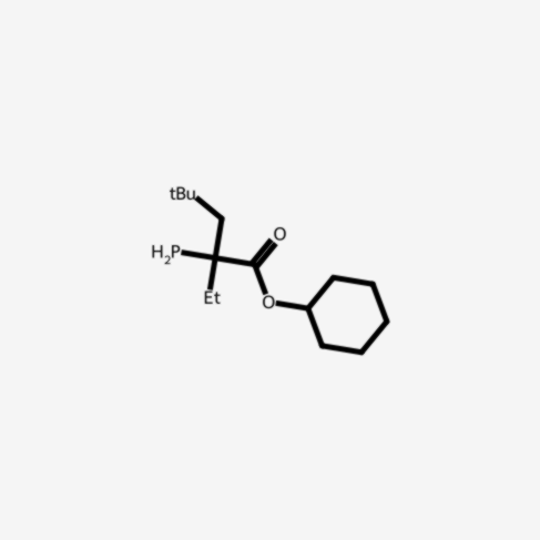 CCC(P)(CC(C)(C)C)C(=O)OC1CCCCC1